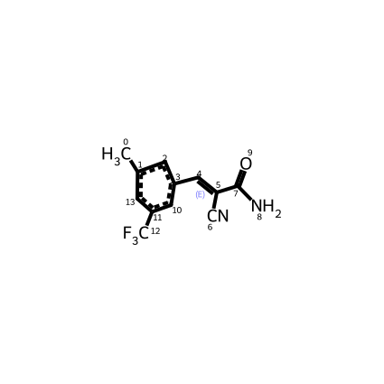 Cc1cc(/C=C(\C#N)C(N)=O)cc(C(F)(F)F)c1